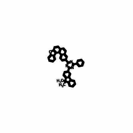 CC1(C)c2ccccc2-c2cc(-c3nc(-c4ccccc4)nc(-c4ccc5c(ccc6ccc7oc8ccccc8c7c65)c4)n3)ccc21